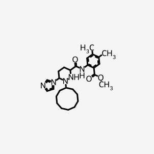 COC(=O)c1cc(C)c(C)cc1NC(=O)C1CCC(n2ccnc2)N(C2CCCCCCCCC2)N1